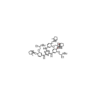 CCCCC(CC)COC1C=C(Nc2nc(NC3=CC(OCC(CC)CCCC)C(=C=C4CC5CCC4(C)C5(C)C)C=C3)nc(NC3=CC(OCC(CC)CCCC)C(=C=C4CC5CCC4(C)C5(C)C)C=C3)n2)C=CC1=C=C1CC2CCC1(C)C2(C)C